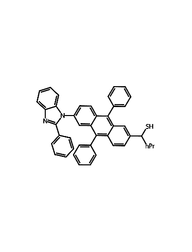 CCCC(S)c1ccc2c(-c3ccccc3)c3cc(-n4c(-c5ccccc5)nc5ccccc54)ccc3c(-c3ccccc3)c2c1